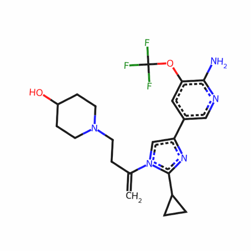 C=C(CCN1CCC(O)CC1)n1cc(-c2cnc(N)c(OC(F)(F)F)c2)nc1C1CC1